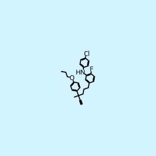 C#CC(C)(CCCc1ccc(F)c(Nc2ccc(Cl)cc2)c1)c1ccc(OCCC)cc1